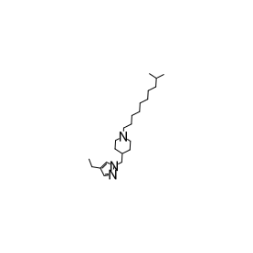 CCc1cnn(CC2CCN(CCCCCCCCC(C)C)CC2)c1